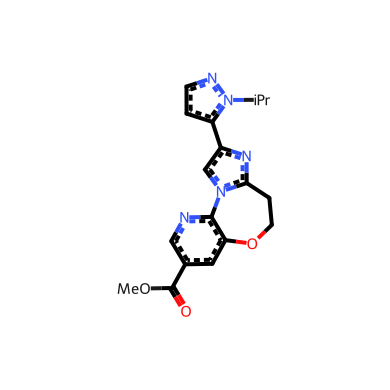 COC(=O)c1cnc2c(c1)OCCc1nc(-c3ccnn3C(C)C)cn1-2